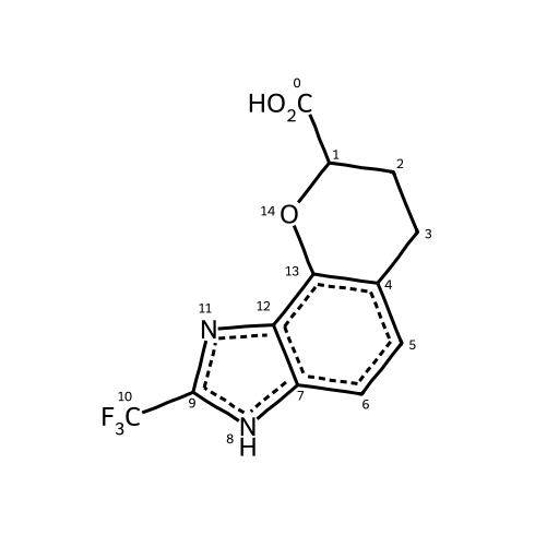 O=C(O)C1CCc2ccc3[nH]c(C(F)(F)F)nc3c2O1